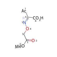 COC(=O)CO/N=C(/C(C)=O)C(=O)O